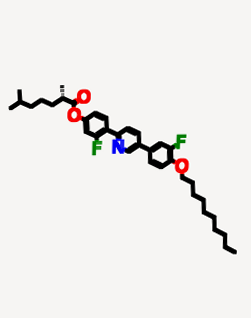 CCCCCCCCCCOc1ccc(-c2ccc(-c3ccc(OC(=O)[C@@H](C)CCCC(C)C)cc3F)nc2)cc1F